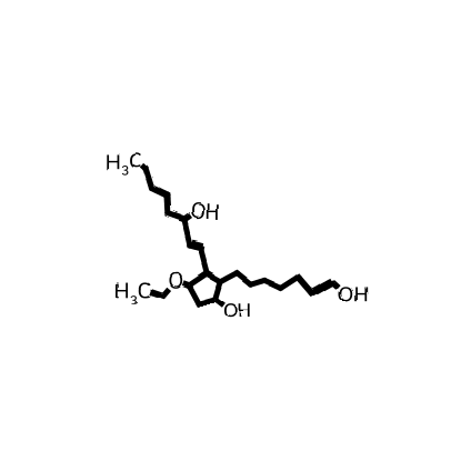 CCCCCC(O)/C=C/C1C(OCC)CC(O)C1CCCCCC=CO